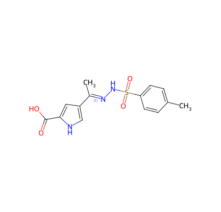 C/C(=N\NS(=O)(=O)c1ccc(C)cc1)c1c[nH]c(C(=O)O)c1